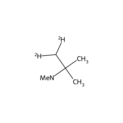 [2H]C([2H])C(C)(C)NC